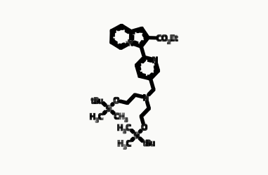 CCOC(=O)c1cc2ccccn2c1-c1ccc(CN(CCO[Si](C)(C)C(C)(C)C)CCO[Si](C)(C)C(C)(C)C)cn1